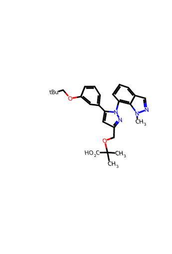 Cn1ncc2cccc(-n3nc(COC(C)(C)C(=O)O)cc3-c3cccc(OCC(C)(C)C)c3)c21